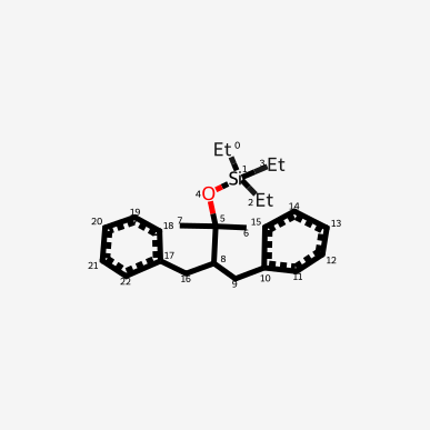 CC[Si](CC)(CC)OC(C)(C)C(Cc1ccccc1)Cc1ccccc1